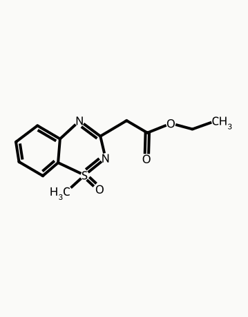 CCOC(=O)CC1=Nc2ccccc2S(C)(=O)=N1